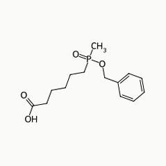 CP(=O)(CCCCCC(=O)O)OCc1ccccc1